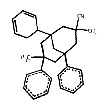 CC1(C#N)CC2(c3ccccc3)CC(C)(c3ccccc3)CC(C3C=CC=CC3)(C1)C2